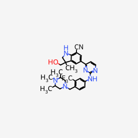 CC1CN(Cc2ccc(Nc3nccc(-c4cc(C#N)c5c(c4)C(C)(CO)CN5)n3)cc2C(F)(F)F)CC(C)N1C